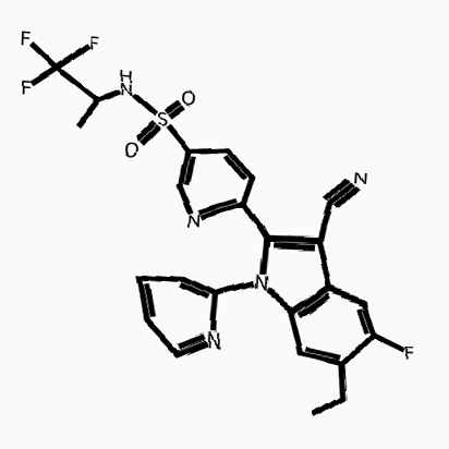 CCc1cc2c(cc1F)c(C#N)c(-c1ccc(S(=O)(=O)NC(C)C(F)(F)F)cn1)n2-c1ccccn1